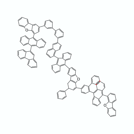 C1=C(c2ccc(-c3c4ccccc4c(-c4cccc5c4oc4ccccc45)c4ccccc34)c(-c3ccccc3)c2)c2oc3ccc(-c4c5ccccc5c(-c5cccc6cc(-c7cccc(-c8cccc(-c9cc(-c%10c%11ccccc%11c(-c%11cc%12ccccc%12c%12ccccc%11%12)c%11ccccc%10%11)c%10oc%11ccccc%11c%10c9)c8)c7)ccc56)c5ccccc45)cc3c2CC1c1ccccc1